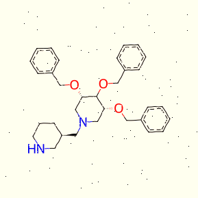 c1ccc(COC2[C@@H](OCc3ccccc3)CN(C[C@@H]3CCCNC3)C[C@H]2OCc2ccccc2)cc1